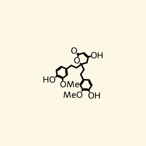 COc1cc(CCC2(CCc3ccc(O)c(OC)c3)CC(O)=CC(=O)O2)ccc1O